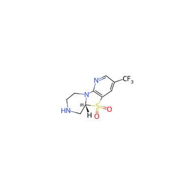 O=S1(=O)c2cc(C(F)(F)F)cnc2N2CCNC[C@H]21